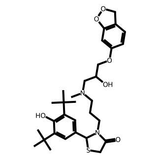 CN(CCCN1C(=O)CSC1c1cc(C(C)(C)C)c(O)c(C(C)(C)C)c1)CC(O)COc1ccc2c(c1)OOC2